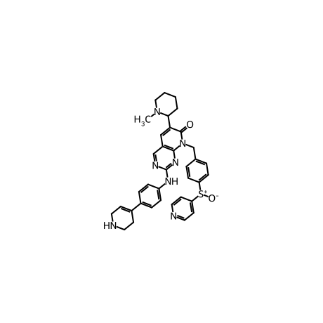 CN1CCCCC1c1cc2cnc(Nc3ccc(C4=CCNCC4)cc3)nc2n(Cc2ccc([S+]([O-])c3ccncc3)cc2)c1=O